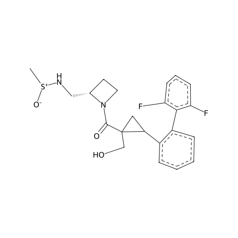 C[S+]([O-])NC[C@@H]1CCN1C(=O)C1(CO)CC1c1ccccc1-c1c(F)cccc1F